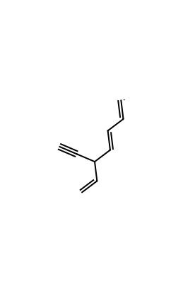 [CH]=CC=CC(C#C)C=C